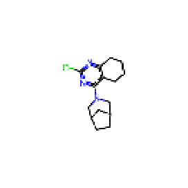 Clc1nc2c(c(N3CC4CCC(C4)C3)n1)CCCC2